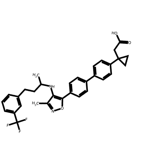 Cc1noc(-c2ccc(-c3ccc(C4(CC(=O)O)CC4)cc3)cc2)c1NC(C)CCc1cccc(C(F)(F)F)c1